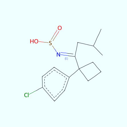 CC(C)C/C(=N\S(=O)O)C1(c2ccc(Cl)cc2)CCC1